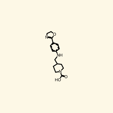 O=C(O)N1CCC(CNc2ccc(C3=NCCO3)cc2)CC1